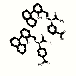 NC(=S)N(N=Cc1cccc(-c2cccc3ccccc23)c1O)c1ccc(C(=O)O)cc1.NC(=S)N(N=Cc1cccc(-c2cccc3ccccc23)c1O)c1cccc(C(=O)O)c1